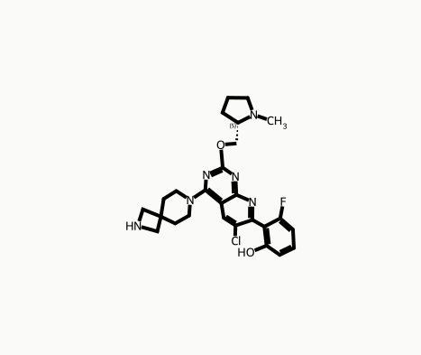 CN1CCC[C@H]1COc1nc(N2CCC3(CC2)CNC3)c2cc(Cl)c(-c3c(O)cccc3F)nc2n1